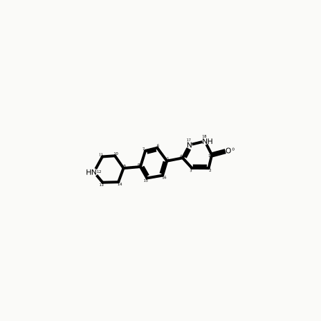 O=c1ccc(-c2ccc(C3CCNCC3)cc2)n[nH]1